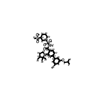 CC(C)COc1cc(F)cc(-c2ccc(C(=O)NS(=O)(=O)N3CCCC(S(C)(=O)=O)C3)c(N3CCC(C)C3(C)C)n2)c1